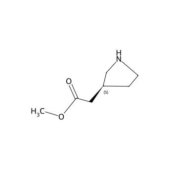 COC(=O)C[C@@H]1CCNC1